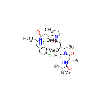 CCC(C)C(C(CC(=O)N1CCC[C@H]1[C@H](OC)C(C)C(=O)N[C@@H](Cc1ccc(Cl)cc1Cl)C(=O)O)OC)N(C)C(=O)[C@@H](NC(=O)C(NC)C(C)C)C(C)C